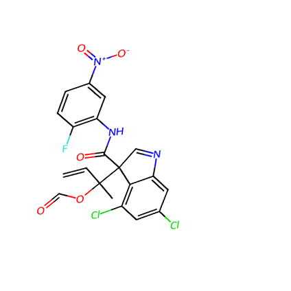 C=CC(C)(OC=O)C1(C(=O)Nc2cc([N+](=O)[O-])ccc2F)C=Nc2cc(Cl)cc(Cl)c21